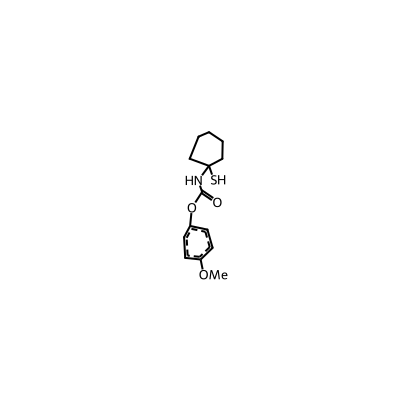 COc1ccc(OC(=O)NC2(S)CCCCC2)cc1